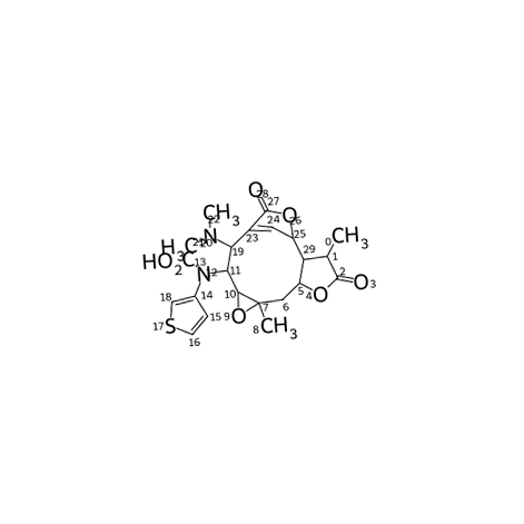 CC1C(=O)OC2CC3(C)OC3C(N(C(=O)O)c3ccsc3)C(N(C)C)C3=CC(OC3=O)C21